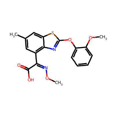 CON=C(C(=O)O)c1cc(C)cc2sc(Oc3ccccc3OC)nc12